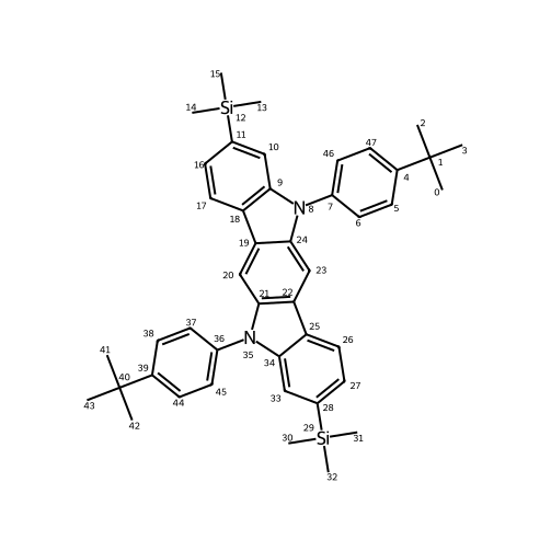 CC(C)(C)c1ccc(-n2c3cc([Si](C)(C)C)ccc3c3cc4c(cc32)c2ccc([Si](C)(C)C)cc2n4-c2ccc(C(C)(C)C)cc2)cc1